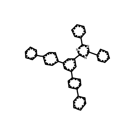 c1ccc(-c2ccc(-c3cc(-c4ccc(-c5ccccc5)cc4)cc(-c4nc(-c5ccccc5)nc(-c5ccccc5)n4)c3)cc2)cc1